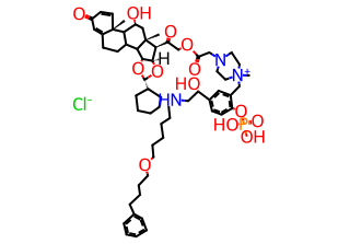 C[C@]12C=CC(=O)C=C1CCC1C2[C@@H](O)C[C@@]2(C)C1C1O[C@@H](C3CCCCC3)O[C@@H]1[C@@H]2C(=O)COC(=O)CN1CC[N+](C)(Cc2cc(C(O)CNCCCCCCOCCCCc3ccccc3)ccc2OP(=O)(O)O)CC1.[Cl-]